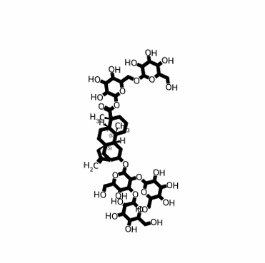 C=C1C[C@@]23CC[C@H]4[C@@](C)(CCC[C@@]4(C)C(=O)OC4OC(COC5OC(CO)C(O)C(O)C5O)C(O)C(O)C4O)[C@@H]2CC(OC2OC(CO)C(O)C(OC4OC(CO)C(O)C(O)C4O)C2OC2OC(CO)C(O)C(O)C2O)C1C3